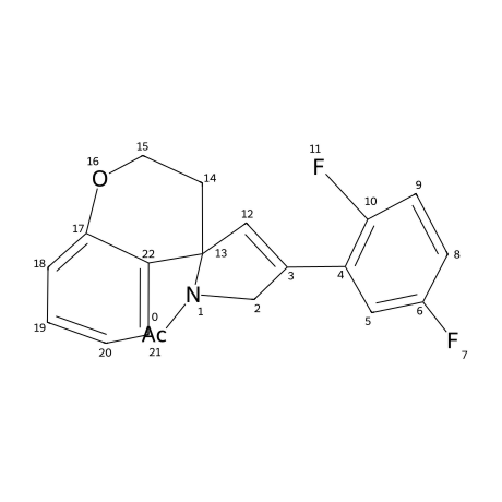 CC(=O)N1CC(c2cc(F)ccc2F)=CC12CCOc1ccccc12